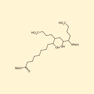 CCCCCC(CCCC(=O)O)C(O)CC(CCCC(=O)O)C(O)CCCCCCCC(=O)OC